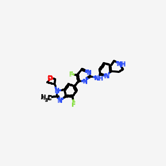 Cc1nc2c(F)cc(-c3nc(Nc4ccc5c(n4)CCNC5)ncc3F)cc2n1C1COC1